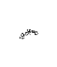 O=C(N1CCN(c2cccc(C(F)(F)F)c2)CC1)C12CCCC1CC(NCC1CCOCC1)C2